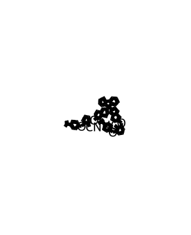 C=C(C)c1ccc(Oc2cccc(Oc3ccc4cc(C5(c6ccc7cc(Oc8cccc(Oc9ccc(C(=C)C)cc9)c8C#N)ccc7c6)c6ccccc6-c6ccccc65)ccc4c3)c2C#N)cc1